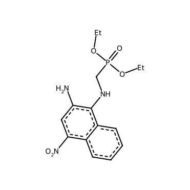 CCOP(=O)(CNc1c(N)cc([N+](=O)[O-])c2ccccc12)OCC